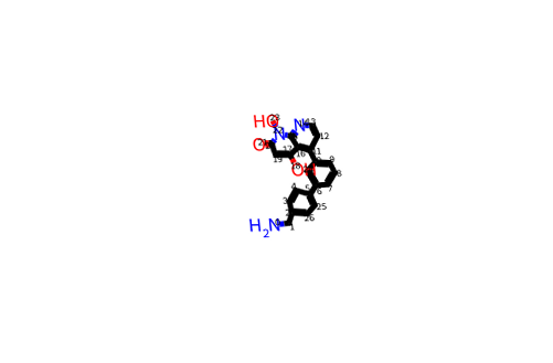 NCc1ccc(-c2cccc(-c3ccnc4c3c(O)cc(=O)n4O)c2)cc1